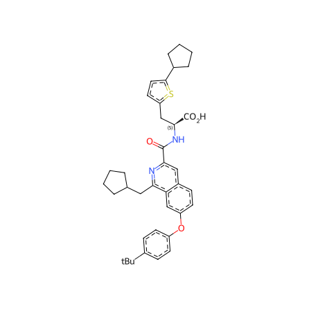 CC(C)(C)c1ccc(Oc2ccc3cc(C(=O)N[C@@H](Cc4ccc(C5CCCC5)s4)C(=O)O)nc(CC4CCCC4)c3c2)cc1